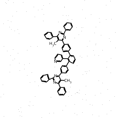 Cc1c(-c2ccccc2)nc(-c2ccccc2)nc1-c1ccc(-c2cccc(-c3ccc(-c4nc(-c5ccccc5)nc(-c5ccccc5)c4C)cc3)c2-c2cccnc2)cc1